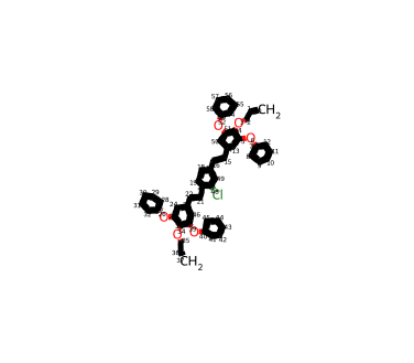 C=CCOc1c(Oc2ccccc2)cc(C=Cc2ccc(C=Cc3cc(Oc4ccccc4)c(OCC=C)c(Oc4ccccc4)c3)c(Cl)c2)cc1Oc1ccccc1